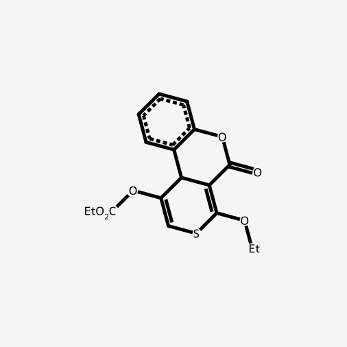 CCOC(=O)OC1=CSC(OCC)=C2C(=O)Oc3ccccc3C12